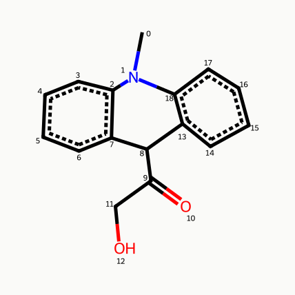 CN1c2ccccc2C(C(=O)CO)c2ccccc21